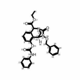 CCOC(=O)C1c2cccc(OC(=O)Nc3ccccc3)c2[C@H]2CN1C(=O)N2OCc1ccccc1